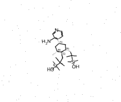 C[C@@H]1C[C@H](c2ccncc2N)C[C@H](CC(C)(C)[Si](C)(C)O)[C@H]1CC(C)(C)[Si](C)(C)O